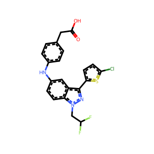 O=C(O)Cc1ccc(Nc2ccc3c(c2)c(-c2ccc(Cl)s2)nn3CC(F)F)cc1